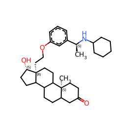 C[C@H](NC1CCCCC1)c1cccc(OCC[C@]23CCC4C(CCC5CC(=O)CC[C@@]54C)C2CC[C@@H]3O)c1